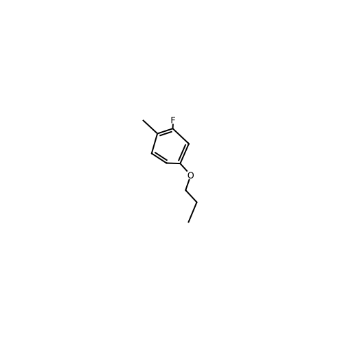 CCCOc1ccc(C)c(F)c1